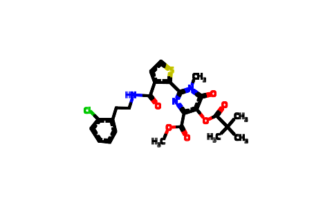 COC(=O)c1nc(-c2sccc2C(=O)NCCc2ccccc2Cl)n(C)c(=O)c1OC(=O)C(C)(C)C